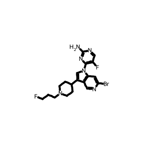 Nc1ncc(F)c(-n2cc(C3CCN(CCCF)CC3)c3cnc(Br)cc32)n1